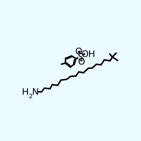 CC(C)(C)CCCCCCCCCCCCCCCCCN.Cc1ccc(S(=O)(=O)O)cc1